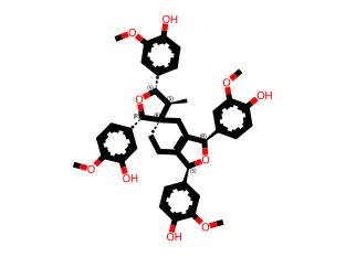 COc1ccc([C@@H]2O[C@H](c3ccc(O)c(OC)c3)[C@@H](C)[C@]23CCC2=C(C3)[C@@H](c3ccc(O)c(OC)c3)O[C@H]2c2ccc(O)c(OC)c2)cc1O